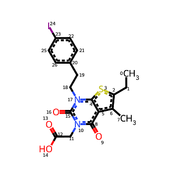 CCc1sc2c(c1C)c(=O)n(CC(=O)O)c(=O)n2CCc1ccc(I)cc1